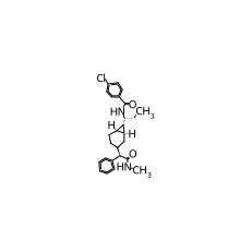 CC[C@@H](NC(=O)c1ccc(Cl)cc1)[C@H]1[C@@H]2CCC([C@@H](C(=O)NC)c3ccccc3)C[C@@H]21